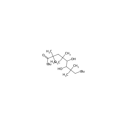 CC(C)(C)CC(C)(C)C(O)C(O)C(C)(C)CC(C)(C)C(=O)C(C)(C)C